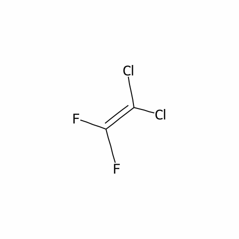 FC(F)=C(Cl)Cl